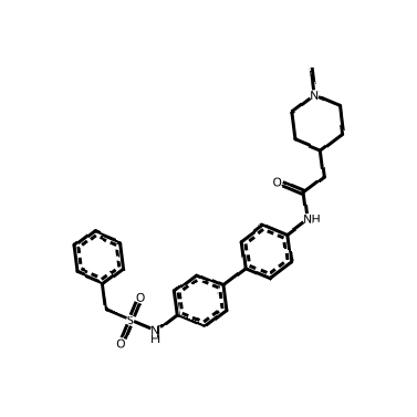 CN1CCC(CC(=O)Nc2ccc(-c3ccc(NS(=O)(=O)Cc4ccccc4)cc3)cc2)CC1